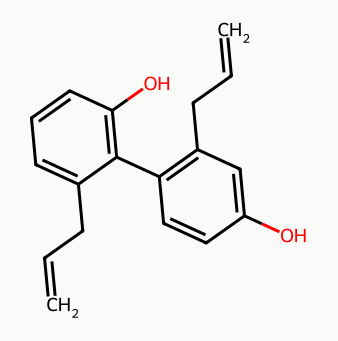 C=CCc1cc(O)ccc1-c1c(O)cccc1CC=C